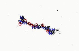 CN1C(=O)C[C@H](C(=O)NCCOCCOCCC(=O)N[C@H]2CC[C@@H](C(=O)NCCN3CC[C@H](Nc4ncnc5ccc(C(F)(F)F)cc45)C3=O)CC2)[C@H]1c1cccnc1